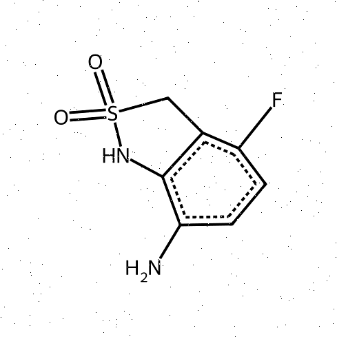 Nc1ccc(F)c2c1NS(=O)(=O)C2